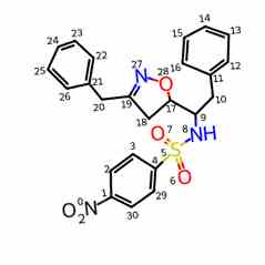 O=[N+]([O-])c1ccc(S(=O)(=O)NC(Cc2ccccc2)C2CC(Cc3ccccc3)=NO2)cc1